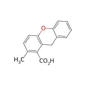 Cc1ccc2c(c1C(=O)O)Cc1ccccc1O2